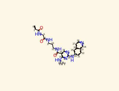 C=CC(=O)NCC(=O)NCCCNC(=O)c1cnc(Nc2ccc3cnccc3c2)nc1NCCC